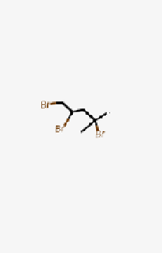 [CH2]C(C)(Br)CC(Br)CBr